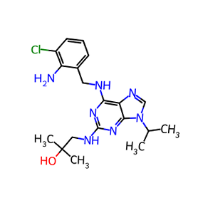 CC(C)n1cnc2c(NCc3cccc(Cl)c3N)nc(NCC(C)(C)O)nc21